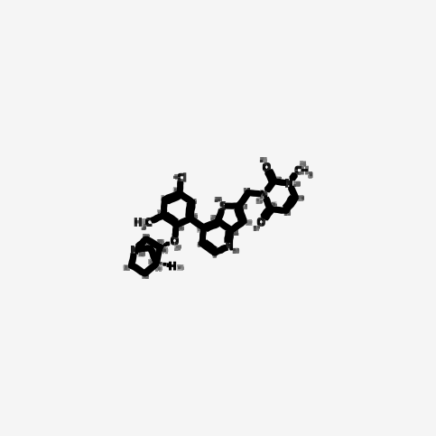 Cc1cc(Cl)cc(-c2ccnc3cc(Cn4c(=O)ccn(C)c4=O)sc23)c1O[C@H]1CN2CC[C@H]1C2